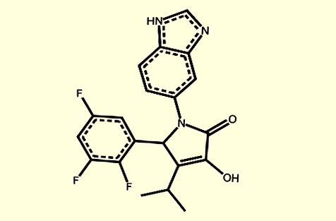 CC(C)C1=C(O)C(=O)N(c2ccc3[nH]cnc3c2)C1c1cc(F)cc(F)c1F